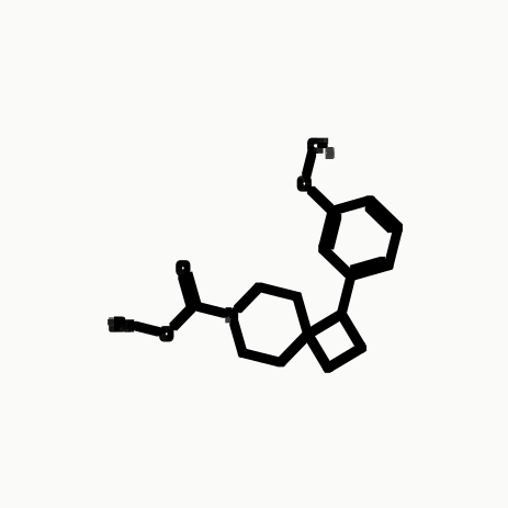 CC(C)(C)OC(=O)N1CCC2(CCC2c2cccc(OC(F)(F)F)c2)CC1